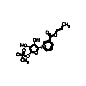 CCCOC(=O)c1ccc[n+]([C@@H]2O[C@H](OP(C)(=O)[O-])[C@H](O)[C@@H]2O)c1